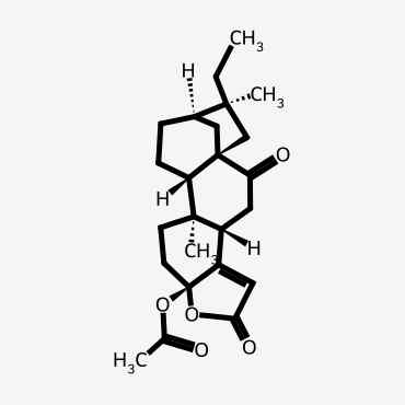 CC[C@@]1(C)C[C@]23C[C@H]1CC[C@H]2[C@]1(C)CC[C@@]2(OC(C)=O)OC(=O)C=C2[C@H]1CC3=O